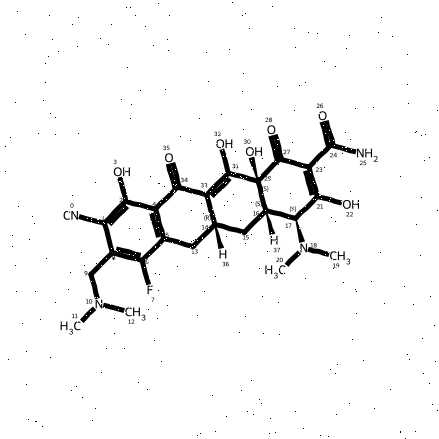 [C-]#[N+]c1c(O)c2c(c(F)c1CN(C)C)C[C@H]1C[C@H]3[C@H](N(C)C)C(O)=C(C(N)=O)C(=O)[C@@]3(O)C(O)=C1C2=O